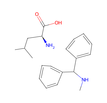 CC(C)C[C@H](N)C(=O)O.CNC(c1ccccc1)c1ccccc1